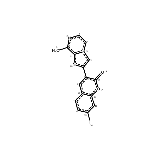 Cc1nccn2cc(-c3cc4ccc(F)cc4oc3=O)nc12